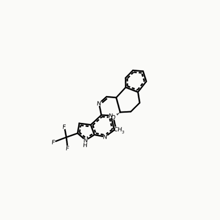 CO[C@H]1CCc2ccccc2C1/C=N\c1ncnc2[nH]c(C(F)(F)F)cc12